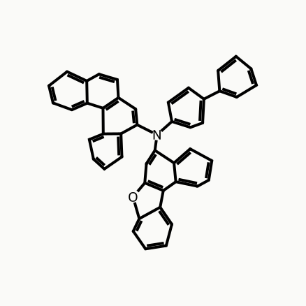 c1ccc(-c2ccc(N(c3cc4ccc5ccccc5c4c4ccccc34)c3cc4oc5ccccc5c4c4ccccc34)cc2)cc1